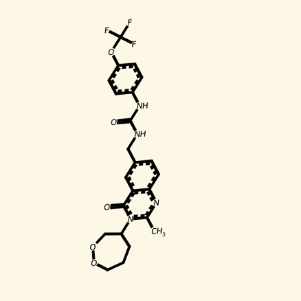 Cc1nc2ccc(CNC(=O)Nc3ccc(OC(F)(F)F)cc3)cc2c(=O)n1C1CCCOOC1